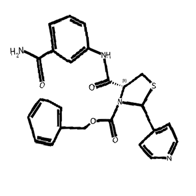 NC(=O)c1cccc(NC(=O)[C@@H]2CSC(c3ccncc3)N2C(=O)OCc2ccccc2)c1